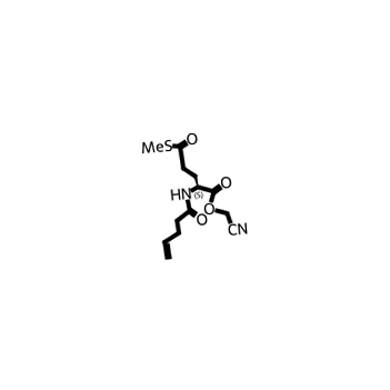 C=CCCC(=O)N[C@@H](CCC(=O)SC)C(=O)OCC#N